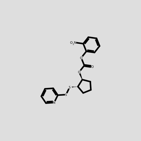 O=C(Oc1ccccc1[N+](=O)[O-])O[C@H]1CCC[C@@H]1SSc1ccccn1